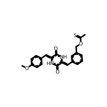 COc1ccc(C=c2[nH]c(=O)c(=Cc3cccc(COC(C)=S)c3)[nH]c2=O)cc1